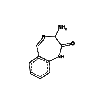 NC1N=Cc2ccccc2NC1=O